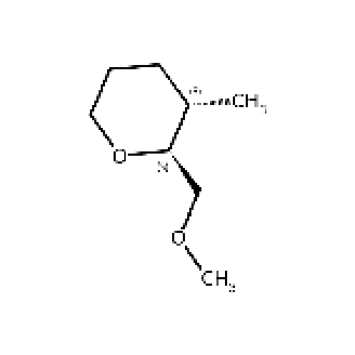 COC[C@H]1OCCC[C@@H]1C